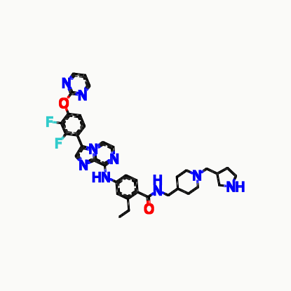 CCc1cc(Nc2nccn3c(-c4ccc(Oc5ncccn5)c(F)c4F)cnc23)ccc1C(=O)NCC1CCN(CC2CCNC2)CC1